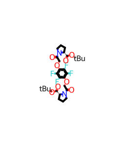 CC(C)(C)OC(=O)[C@H]1CCCN1C(=O)COc1c(F)c(F)c(OCC(=O)N2CCC[C@@H]2C(=O)OC(C)(C)C)c(F)c1F